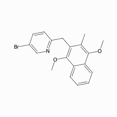 COc1c(C)c(Cc2ccc(Br)cn2)c(OC)c2ccccc12